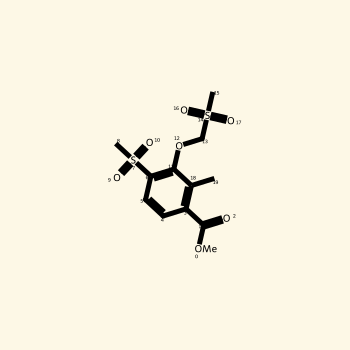 COC(=O)c1ccc(S(C)(=O)=O)c(OCS(C)(=O)=O)c1C